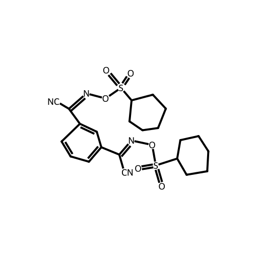 N#CC(=NOS(=O)(=O)C1CCCCC1)c1cccc(C(C#N)=NOS(=O)(=O)C2CCCCC2)c1